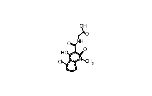 Cn1c(=O)c(C(=O)NCC(=O)O)c(O)c2c(Cl)cccc21